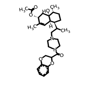 CC(=O)O[C@@H]1[CH][C@@]2(O)[C@H](C)CC[C@@H](C(C)CN3CCN(C(=O)C4COc5ccccc5O4)CC3)[C@H]2C=C1C